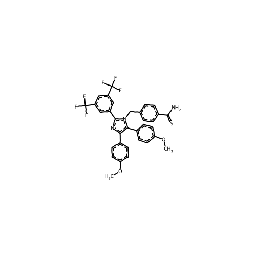 COc1ccc(-c2nc(-c3cc(C(F)(F)F)cc(C(F)(F)F)c3)n(Cc3ccc(C(N)=S)cc3)c2-c2ccc(OC)cc2)cc1